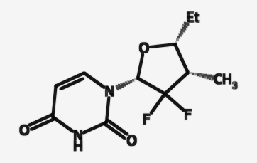 CC[C@H]1O[C@@H](n2ccc(=O)[nH]c2=O)C(F)(F)[C@H]1C